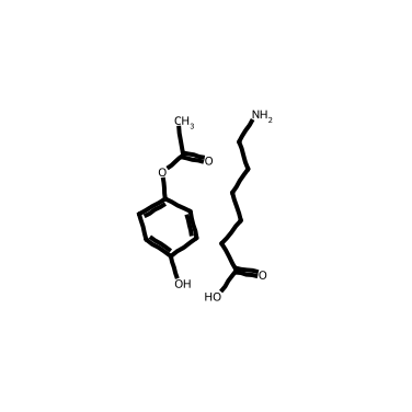 CC(=O)Oc1ccc(O)cc1.NCCCCCC(=O)O